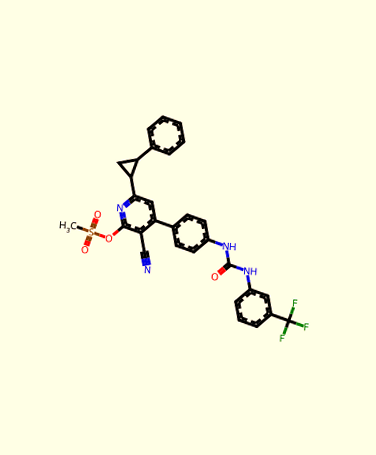 CS(=O)(=O)Oc1nc(C2CC2c2ccccc2)cc(-c2ccc(NC(=O)Nc3cccc(C(F)(F)F)c3)cc2)c1C#N